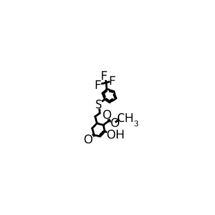 COC(=O)C1C(O)=CC(=O)CC1CCSc1cccc(C(F)(F)F)c1